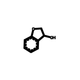 OC1COc2ccccc21